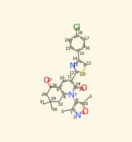 Cc1noc(C)c1-n1c2c(cc(-c3nc(-c4ccc(Cl)cc4)cs3)c1=O)C(=O)CC(C)(C)C2